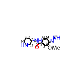 COc1cc(C(=O)N[C@@H]2CCCNC2)ccc1N=N